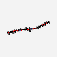 C#CCOC(COC(=O)C=CSCCCCCCS/C=C/C(=O)OCCCOC(=O)CC(=O)OCCCOC(=O)C#C)COC(=O)/C=C/SCCCCCCSC=CC(=O)OCCCOC(=O)CC(=O)OCCCOC(=O)C#C